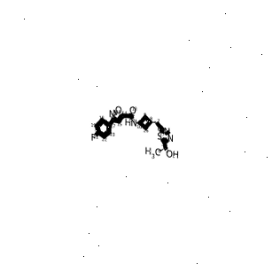 C[C@@H](O)c1nnc(C[C@H]2C[C@@H](NC(=O)c3cc(-c4ccc(F)cc4)no3)C2)s1